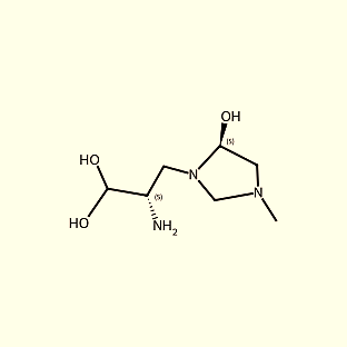 CN1C[C@H](O)N(C[C@H](N)C(O)O)C1